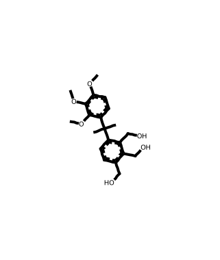 COc1ccc(C(C)(C)c2ccc(CO)c(CO)c2CO)c(OC)c1OC